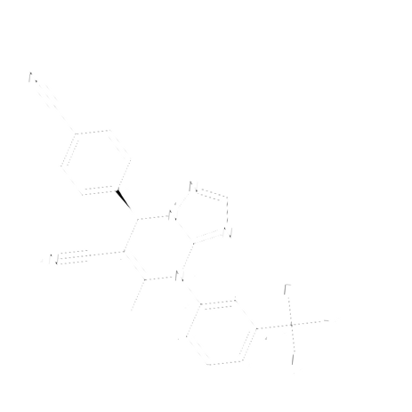 CC1=C(C#N)[C@@H](c2ccc(C#N)cc2)n2ncnc2N1c1cccc(C(F)(F)F)c1